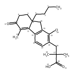 CCCCC12CCC(=O)C(C)=C1c1ccc(CC(C)(C)C(=O)O)c(Cl)c1C2